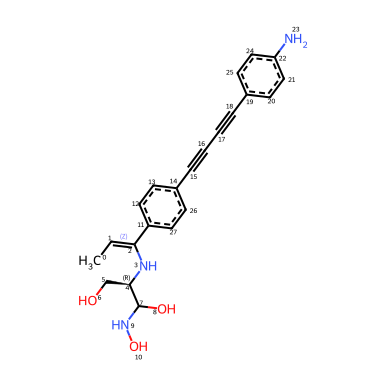 C/C=C(\N[C@H](CO)C(O)NO)c1ccc(C#CC#Cc2ccc(N)cc2)cc1